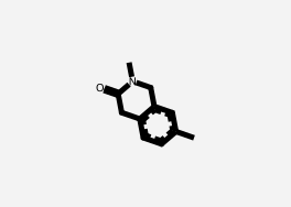 Cc1ccc2c(c1)CN(C)C(=O)C2